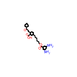 Nc1cc(N)cc(C(=O)OCCCCCCc2ccc(C=CC(=O)c3ccccc3)c(C(=O)O)c2)c1